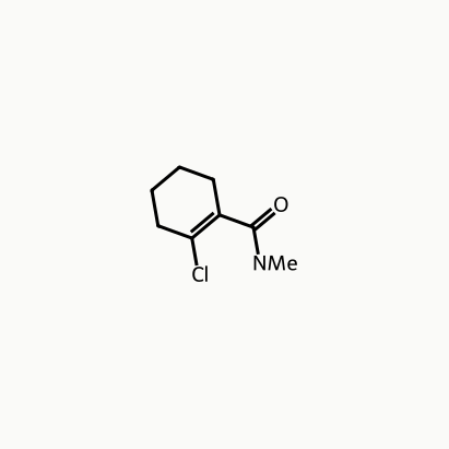 CNC(=O)C1=C(Cl)CCCC1